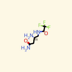 NC(=O)C[C@H](N)CNC(=O)C(F)(F)F